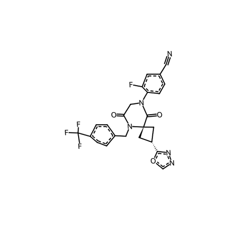 N#Cc1ccc(N2CC(=O)N(Cc3ccc(C(F)(F)F)cc3)[C@]3(C[C@@H](c4nnco4)C3)C2=O)c(F)c1